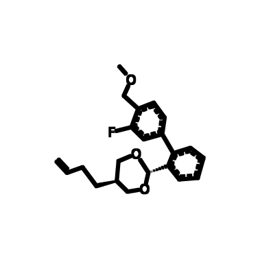 C=CCC[C@H]1CO[C@H](c2ccccc2-c2ccc(COC)c(F)c2)OC1